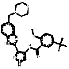 COc1ccc(C(C)(C)C)cc1C(=O)Nc1c[nH]nc1-c1nc2cc(CN3CCOCC3)ccc2[nH]1